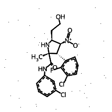 C[C@@]1(C(=O)Nc2cccc(Cl)c2)N[C@@H](CCO)[C@@H]([N+](=O)[O-])[C@@H]1c1cccc(Cl)c1F